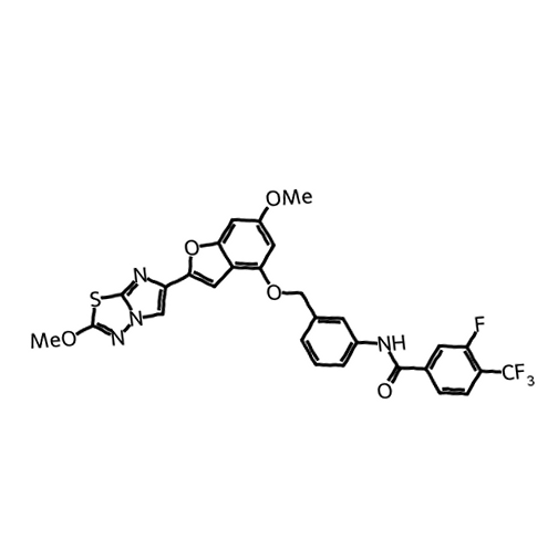 COc1cc(OCc2cccc(NC(=O)c3ccc(C(F)(F)F)c(F)c3)c2)c2cc(-c3cn4nc(OC)sc4n3)oc2c1